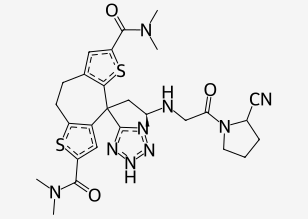 C[C@@H](CC1(c2nn[nH]n2)c2cc(C(=O)N(C)C)sc2CCc2cc(C(=O)N(C)C)sc21)NCC(=O)N1CCCC1C#N